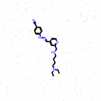 CCN(CC)CCCCNCc1cc(/C=N/Nc2ccc(C#N)cc2)ccn1